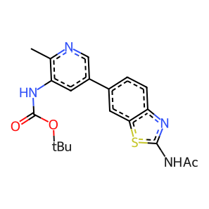 CC(=O)Nc1nc2ccc(-c3cnc(C)c(NC(=O)OC(C)(C)C)c3)cc2s1